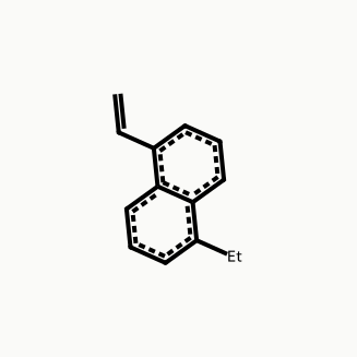 C=Cc1cccc2c(CC)cccc12